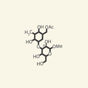 COC1OC(CO)C(O)C(OC2CC(COC(C)=O)C(O)C(C)C2O)[C@H]1O